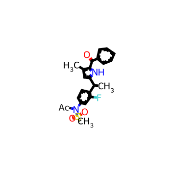 CC(=O)N(c1ccc(C(C)c2cc(C)c(C(=O)c3ccccc3)[nH]2)c(F)c1)S(C)(=O)=O